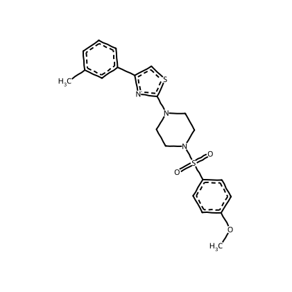 COc1ccc(S(=O)(=O)N2CCN(c3nc(-c4cccc(C)c4)cs3)CC2)cc1